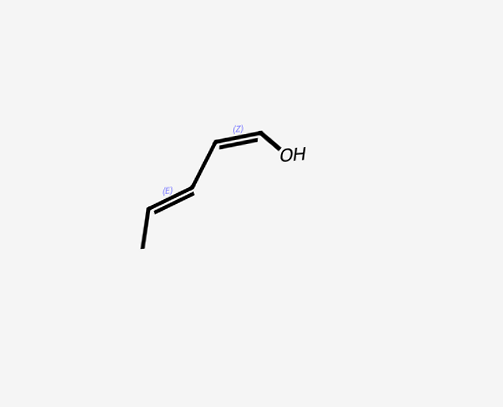 C/C=C/C=C\O